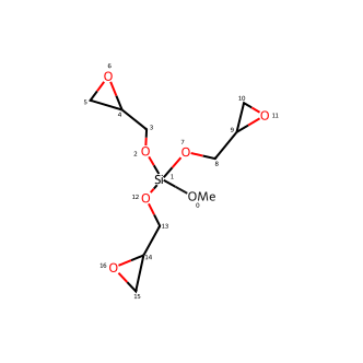 CO[Si](OCC1CO1)(OCC1CO1)OCC1CO1